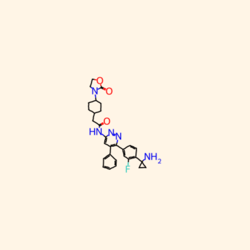 NC1(c2ccc(-c3nnc(NC(=O)CC4CCC(N5CCOC5=O)CC4)cc3-c3ccccc3)cc2F)CC1